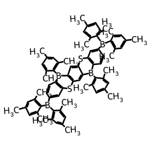 Cc1cc(C)c(B2c3ccc(B(c4c(C)cc(C)cc4C)c4c(C)cc(C)cc4C)cc3Sc3cc4c(cc32)Sc2cc(B(c3c(C)cc(C)cc3C)c3c(C)cc(C)cc3C)ccc2B4c2c(C)cc(C)cc2C)c(C)c1